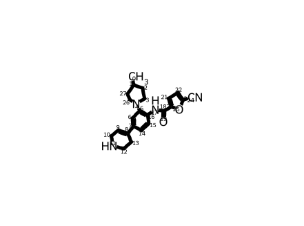 CC1CCN(c2cc(C3=CCNCC3)ccc2NC(=O)c2ccc(C#N)o2)CC1